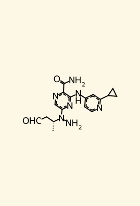 C[C@H](CC=O)N(N)c1cnc(C(N)=O)c(Nc2ccnc(C3CC3)c2)n1